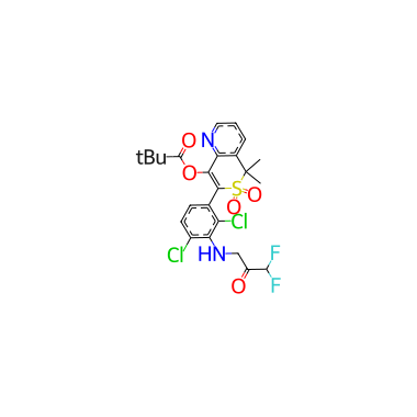 CC(C)(C)C(=O)OC1=C(c2ccc(Cl)c(NCC(=O)C(F)F)c2Cl)S(=O)(=O)C(C)(C)c2cccnc21